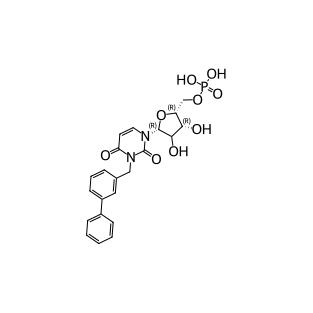 O=c1ccn([C@@H]2O[C@H](COP(=O)(O)O)[C@H](O)C2O)c(=O)n1Cc1cccc(-c2ccccc2)c1